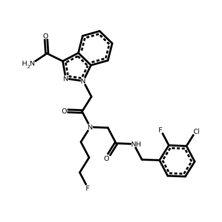 NC(=O)c1nn(CC(=O)N(CCCF)CC(=O)NCc2cccc(Cl)c2F)c2ccccc12